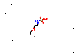 CCOCCNS(=O)(=O)O